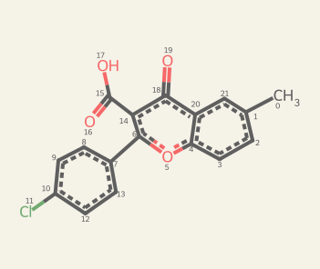 Cc1ccc2oc(-c3ccc(Cl)cc3)c(C(=O)O)c(=O)c2c1